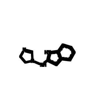 C1=NCCN1Nc1cc2ccccc2[nH]1